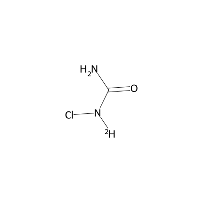 [2H]N(Cl)C(N)=O